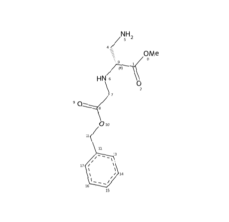 COC(=O)[C@@H](CN)NCC(=O)OCc1ccccc1